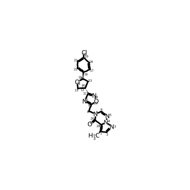 Cc1cnn2ncn(Cc3nc([C@@H]4CO[C@@H](c5ccc(Cl)cc5)C4)no3)c(=O)c12